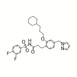 O=C(CCc1ccc(Cn2cccn2)cc1OCCCC1CCCCC1)NS(=O)(=O)c1ccc(F)c(F)c1